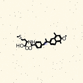 COc1cc(C)c2cc(/C(C)=C/c3ccc(C(=O)NC(CCSC)C(=O)O)cc3)ccc2c1C